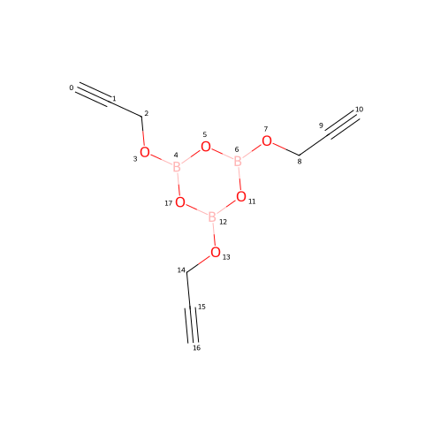 C#CCOB1OB(OCC#C)OB(OCC#C)O1